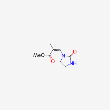 COC(=O)C(C)=CN1CCNC1=O